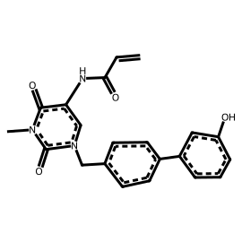 C=CC(=O)Nc1cn(Cc2ccc(-c3cccc(O)c3)cc2)c(=O)n(C)c1=O